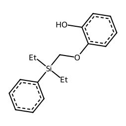 CC[Si](CC)(COc1ccccc1O)c1ccccc1